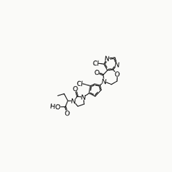 CCC(C(=O)O)N1CCN(c2ccc(N3CCOc4ncnc(Cl)c4C3=O)cc2Cl)C1=O